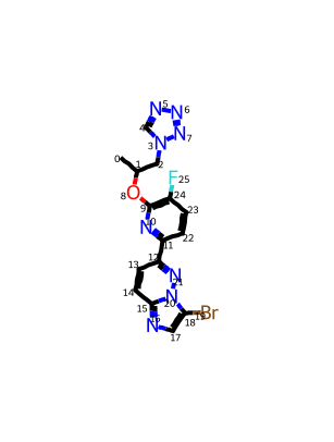 CC(Cn1cnnn1)Oc1nc(-c2ccc3ncc(Br)n3n2)ccc1F